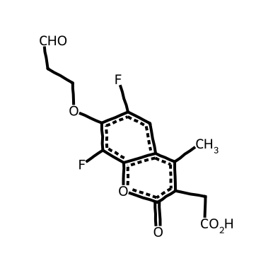 Cc1c(CC(=O)O)c(=O)oc2c(F)c(OCCC=O)c(F)cc12